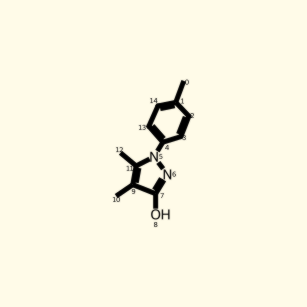 Cc1ccc(-n2nc(O)c(C)c2C)cc1